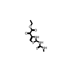 CCOC(=O)C(=O)C1=CSC(NC(=S)NC)N1